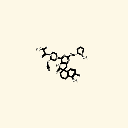 C=C(F)C(=O)N1CCN(c2nc(OC[C@@H]3CCCN3C)nc3c2NC(=O)C2(CCCc4c2ccc(F)c4C)C3)C[C@@H]1CC#N